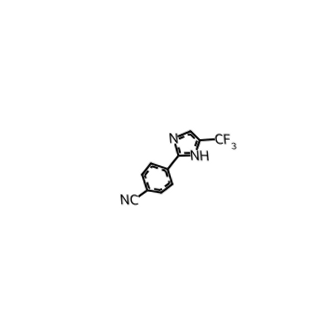 N#Cc1ccc(-c2ncc(C(F)(F)F)[nH]2)cc1